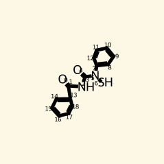 O=C(NC(=O)N(S)c1ccccc1)c1ccccc1